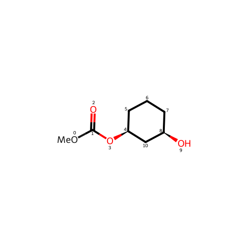 COC(=O)O[C@H]1CCC[C@@H](O)C1